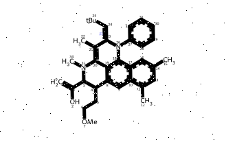 C=C(O)C1C(CCOC)c2cc3c(C)cc(C)cc3c3c2C(=C(C)/C(=C\C(C)(C)C)N3c2ccccc2)N1C